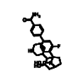 NC(=O)c1ccc(-c2ccc(C34CCC(CC(O)C3C3CCCNC3)N4C(=O)O)c(F)c2)cc1